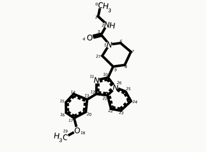 CCNC(=O)N1CCCC(c2nc(-c3cccc(OC)c3)c3ccccn23)C1